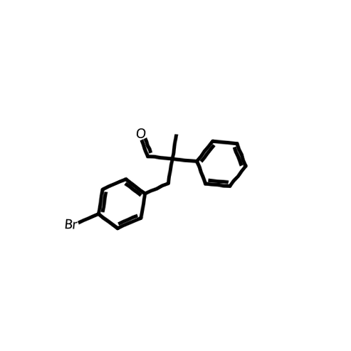 CC(C=O)(Cc1ccc(Br)cc1)c1ccccc1